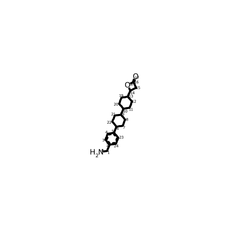 NCc1ccc(C2CCC(C3CCC(C4CC(=O)O4)CC3)CC2)cc1